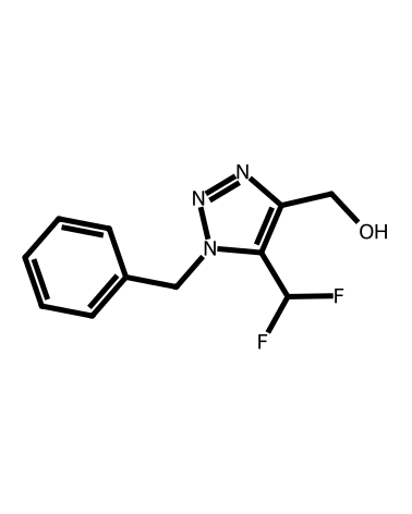 OCc1nnn(Cc2ccccc2)c1C(F)F